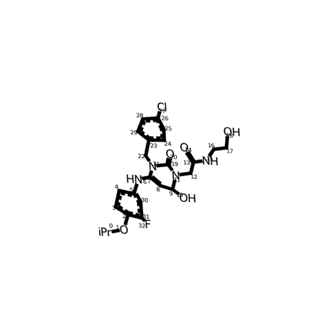 CC(C)Oc1ccc(NC2=CC(O)N(CC(=O)NCCO)C(=O)N2Cc2ccc(Cl)cc2)cc1F